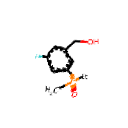 CCP(C)(=O)c1cc(F)cc(CO)c1